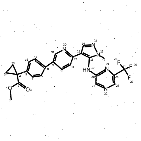 COC(=O)C1(c2ccc(-c3ccc(-c4cnn(C)c4Nc4cncc(C(F)(F)F)n4)nc3)cc2)CC1